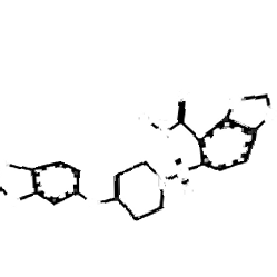 O=C(NO)c1c(S(=O)(=O)N2CCC(Oc3ccc4c(c3)OCO4)CC2)ccc2c1OCO2